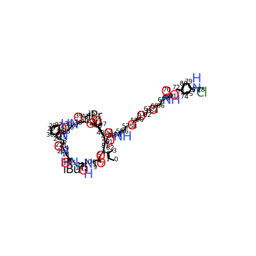 C/C=C(\C)[C@H]1OC(=O)[C@@H](C)NC(=O)[C@H](C(C)CC)NC(=O)CN(C)C(=O)[C@@H](Cc2ccccc2)N(C)C(=O)[C@H](C)NC(=O)[C@@H](CC(C)C)OC(=O)/C(C)=C/C[C@H](OC(=O)NCCCOCCOCCOCCCNC(=O)OCc2ccc(NCl)cc2)[C@@H]1C